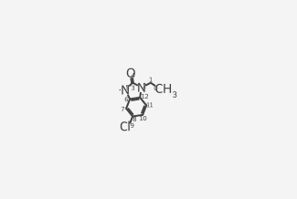 CCN1C(=O)[N]c2cc(Cl)ccc21